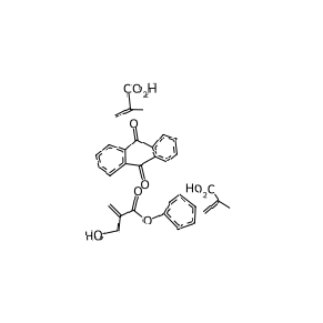 C=C(C)C(=O)O.C=C(C)C(=O)O.C=C(CO)C(=O)Oc1ccccc1.O=C1c2ccccc2C(=O)c2ccccc21